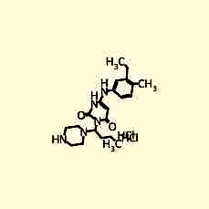 CCCC(N1CCNCC1)n1c(=O)cc(Nc2ccc(C)c(CC)c2)[nH]c1=O.Cl.Cl